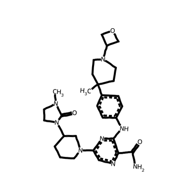 CN1CCN(C2CCCN(c3cnc(C(N)=O)c(Nc4ccc(C5(C)CCN(C6COC6)CC5)cc4)n3)C2)C1=O